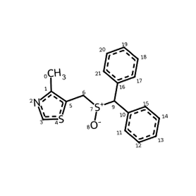 Cc1ncsc1C[S+]([O-])C(c1ccccc1)c1ccccc1